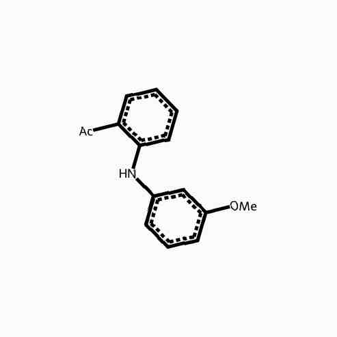 COc1cccc(Nc2ccccc2C(C)=O)c1